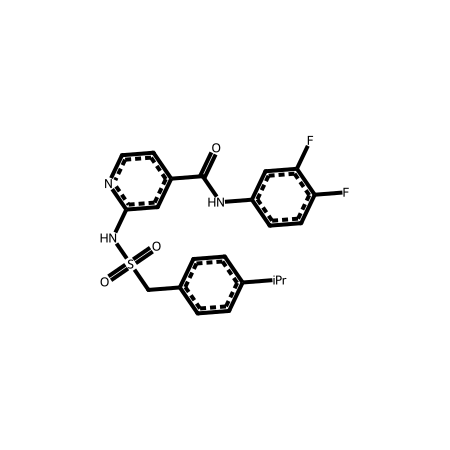 CC(C)c1ccc(CS(=O)(=O)Nc2cc(C(=O)Nc3ccc(F)c(F)c3)ccn2)cc1